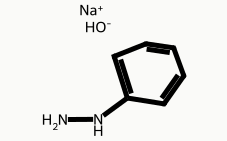 NNc1ccccc1.[Na+].[OH-]